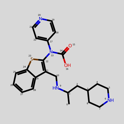 CC(CC1CCNCC1)NCc1c(N(C(=O)O)c2ccncc2)sc2ccccc12